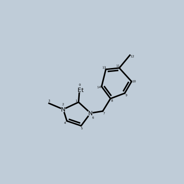 CCC1N(C)C=CN1Cc1ccc(C)cc1